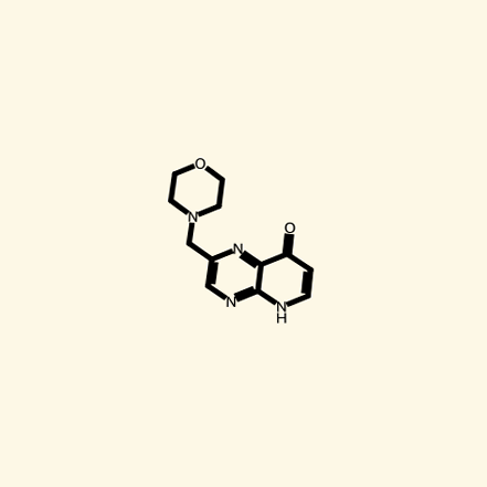 O=c1cc[nH]c2ncc(CN3CCOCC3)nc12